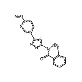 CCCCN(C(=O)c1ccccc1F)c1nnc(-c2ccc(OC)nc2)s1